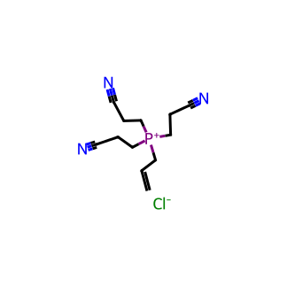 C=CC[P+](CCC#N)(CCC#N)CCC#N.[Cl-]